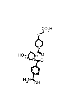 N=C(N)c1ccc(C(=O)N2C[C@H](O)C[C@@H]2C(=O)N2CCC(OCC(=O)O)CC2)cc1